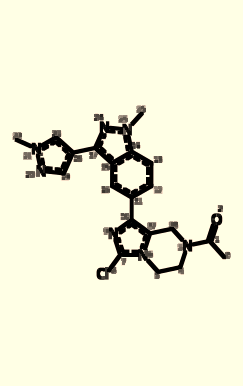 CC(=O)N1CCn2c(Cl)nc(-c3ccc4c(c3)c(-c3cnn(C)c3)nn4C)c2C1